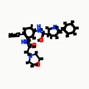 COc1ccc(NC(=O)c2ccc(-c3ccccc3)nc2)cc1NC(=O)CN1CCOCC1